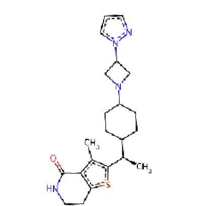 Cc1c([C@H](C)C2CCC(N3CC(n4cccn4)C3)CC2)sc2c1C(=O)NCC2